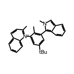 Cc1c(-c2c3ccccc3cn2C)cc(C(C)(C)C)cc1-[n+]1c(C)ccc2ccccc21